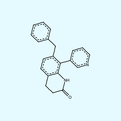 O=C1CCc2ccc(Cc3ccccc3)c(-c3cccnc3)c2N1